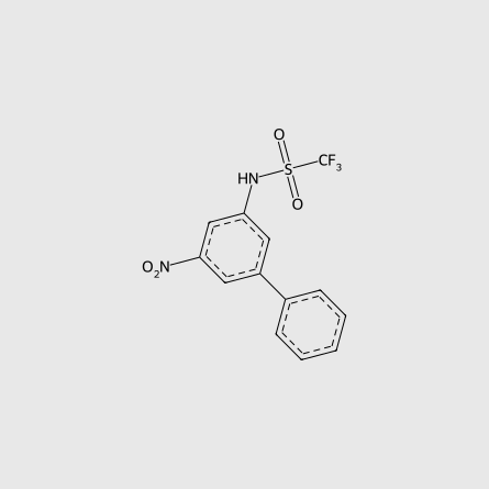 O=[N+]([O-])c1cc(NS(=O)(=O)C(F)(F)F)cc(-c2ccccc2)c1